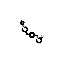 O=C1CCCCN1Cc1ccc(C=C2CCN(C3CCC3)CC2)cc1